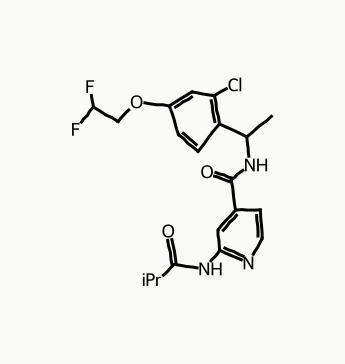 CC(C)C(=O)Nc1cc(C(=O)NC(C)c2ccc(OCC(F)F)cc2Cl)ccn1